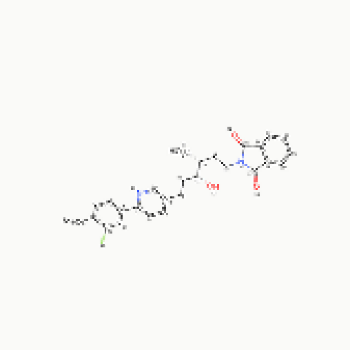 COc1ccc(-c2ccc(CC[C@@H](O)[C@@H](CCN3C(=O)c4ccccc4C3=O)C(=O)O)cn2)cc1F